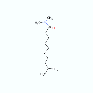 CC(C)CCCCCCCC(=O)N(C)C